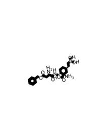 N[C@@H](CC(=O)OCc1ccccc1)C(=O)NC[C@@H]1CC[C@@H](CCB(O)O)C[C@]1(N)C(=O)O